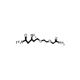 NC(=O)COCCOCCC(N)CC(N)=O